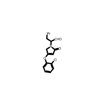 CC(C)CC(C=O)N1CC(Oc2ccccc2Cl)=CC1=O